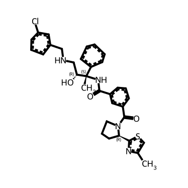 Cc1csc([C@H]2CCCN2C(=O)c2cccc(C(=O)N[C@@](C)(c3ccccc3)[C@H](O)CNCc3cccc(Cl)c3)c2)n1